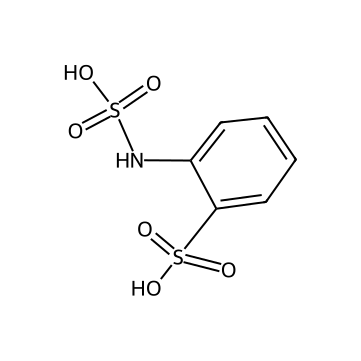 O=S(=O)(O)Nc1ccccc1S(=O)(=O)O